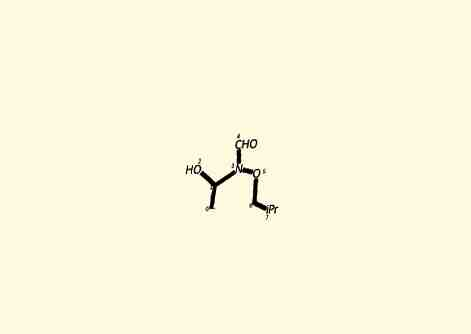 [CH2]C(O)N(C=O)OCC(C)C